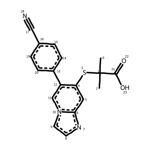 CC(C)(Sc1cc2nccn2cc1-c1ccc(C#N)cc1)C(=O)O